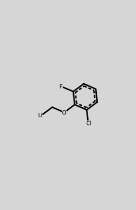 [Li][CH2]Oc1c(F)cccc1Cl